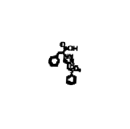 CO[SH](Cc1cn([C@@H](Cc2ccccc2)C(=O)O)nn1)c1ccccc1